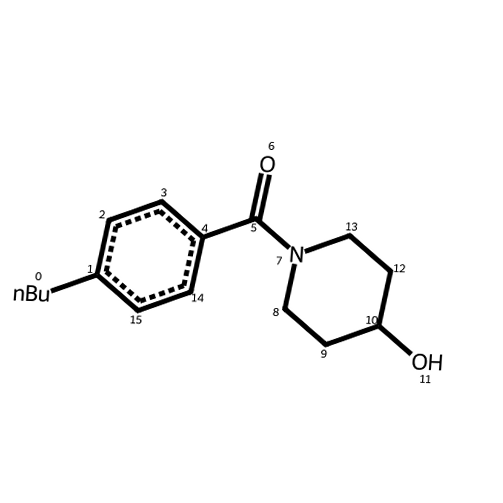 [CH2]CCCc1ccc(C(=O)N2CCC(O)CC2)cc1